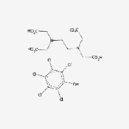 O=C(O)CN(CCN(CC(=O)O)CC(=O)O)CC(=O)O.Oc1c(Cl)c(Cl)c(Cl)c(Cl)c1Cl